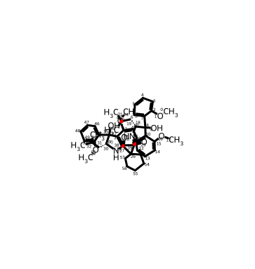 COc1ccccc1C(O)(c1ccccc1OC)[C@@H](CC(C)C)NC(=O)C1(C(=O)N[C@H](CC(C)C)C(O)(c2ccccc2OC)c2ccccc2OC)CCCCC1